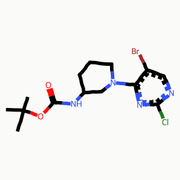 CC(C)(C)OC(=O)NC1CCCN(c2nc(Cl)ncc2Br)C1